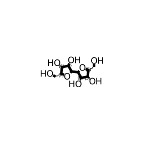 OC[C@H]1OC(C2O[C@H](CO)[C@@H](O)[C]2O)[C@H](O)[C@@H]1O